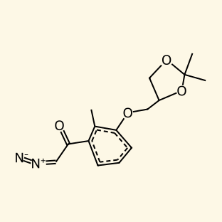 Cc1c(OCC2COC(C)(C)O2)cccc1C(=O)C=[N+]=[N-]